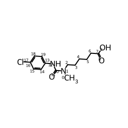 CN(CCCCCC(=O)O)C(=O)Nc1ccc(Cl)cc1